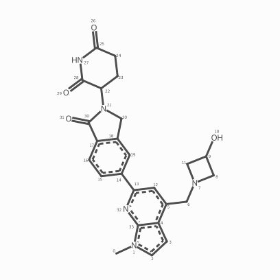 Cn1ccc2c(CN3CC(O)C3)cc(-c3ccc4c(c3)CN(C3CCC(=O)NC3=O)C4=O)nc21